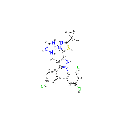 CC1(c2nnc(-c3nn(-c4ccc(Cl)cc4Cl)c(-c4ccc(Cl)cc4)c3Cn3cncn3)s2)CC1